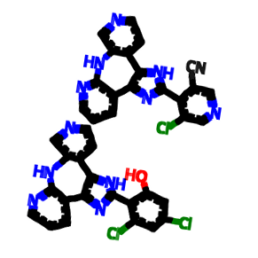 N#Cc1cncc(Cl)c1-c1nc2c([nH]1)-c1ccncc1Nc1ncccc1-2.Oc1cc(Cl)cc(Cl)c1-c1nc2c([nH]1)-c1ccncc1Nc1ncccc1-2